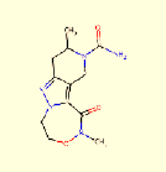 CC1Cc2nn3c(c2CN1C(N)=O)C(=O)N(C)OCC3